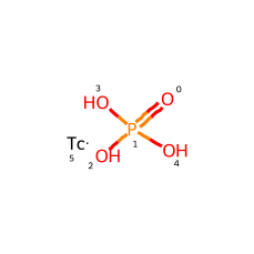 O=P(O)(O)O.[Tc]